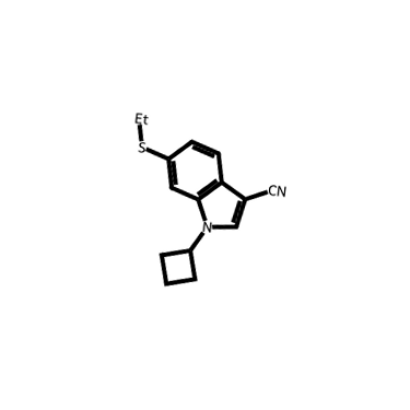 CCSc1ccc2c(C#N)cn(C3CCC3)c2c1